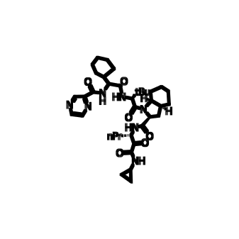 CCC[C@H](NC(=O)[C@@H]1C[C@@H]2CCCC[C@@H]2N1C(=O)[C@@H](NC(=O)C(NC(=O)c1cnccn1)C1CCCCC1)C(C)(C)C)C(=O)C(=O)NC1CC1